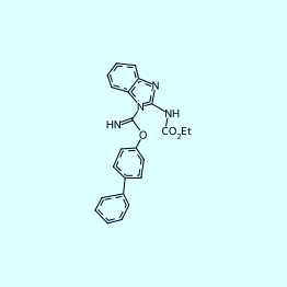 CCOC(=O)Nc1nc2ccccc2n1C(=N)Oc1ccc(-c2ccccc2)cc1